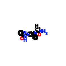 CC(C(N)=O)N1CC2(CCN(c3nc4c(c(=O)[nH]3)CCCC4)CC2)c2ccccc21